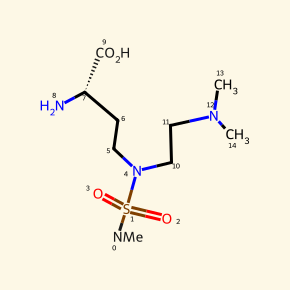 CNS(=O)(=O)N(CC[C@H](N)C(=O)O)CCN(C)C